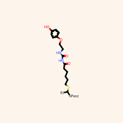 CCCCCC(CC)SCCCCCC(=O)NC(=O)NCCOc1ccc(O)cc1